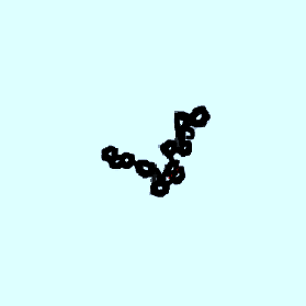 c1ccc(-c2ccccc2N(c2ccc(-c3ccc4c(ccc5ccccc54)c3)cc2)c2cccc(-c3cccc4c3c3ccccc3n4-c3cccc4c3sc3ccccc34)c2)cc1